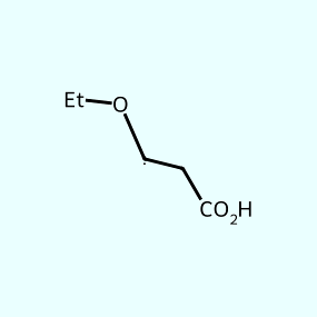 CCO[CH]CC(=O)O